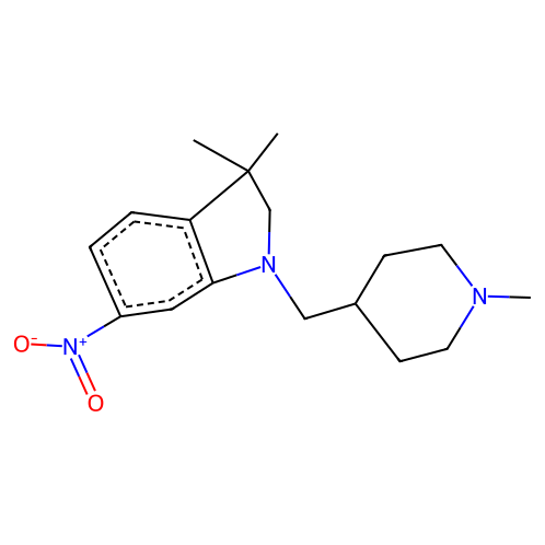 CN1CCC(CN2CC(C)(C)c3ccc([N+](=O)[O-])cc32)CC1